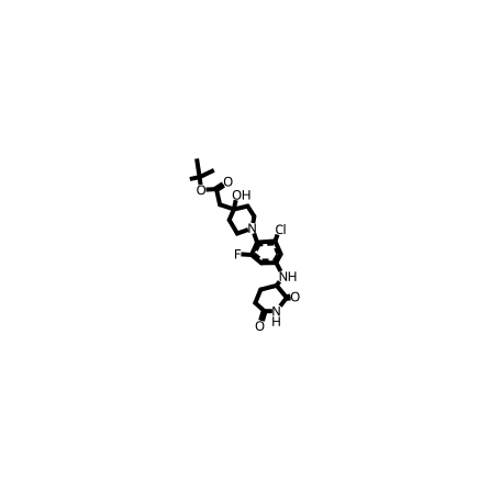 CC(C)(C)OC(=O)CC1(O)CCN(c2c(F)cc(NC3CCC(=O)NC3=O)cc2Cl)CC1